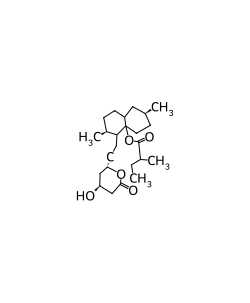 CCC(C)C(=O)OC12CC[C@H](C)CC1CC[C@H](C)C2CC[C@H]1C[C@H](O)CC(=O)O1